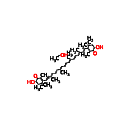 CC1=C(/C=C/C(C)=C/C=C/C(C)=C/C=C/C=C(C)/C=C/C=C(C)/C=C/C2=C(C)C(=O)C(O)CC2(C)C)C(C)(C)CC(O)C1=O.CCO